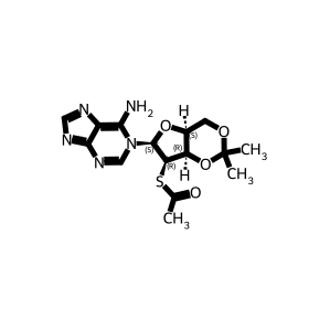 CC(=O)S[C@@H]1[C@@H]2OC(C)(C)OC[C@@H]2O[C@@H]1n1cnc2ncnc-2c1N